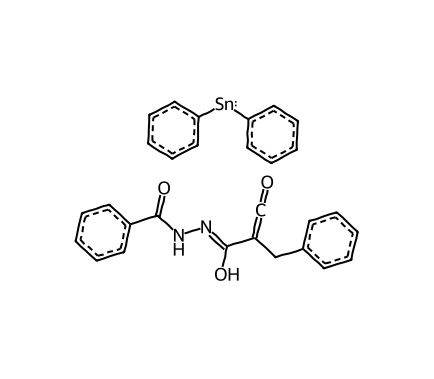 O=C=C(Cc1ccccc1)C(O)=NNC(=O)c1ccccc1.c1cc[c]([Sn][c]2ccccc2)cc1